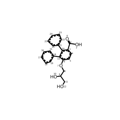 O=C(O)c1ccc(OCC(O)CO)c(-c2ccccc2)c1-c1ccccc1